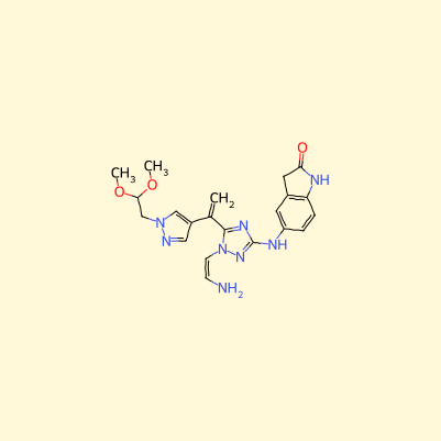 C=C(c1cnn(CC(OC)OC)c1)c1nc(Nc2ccc3c(c2)CC(=O)N3)nn1/C=C\N